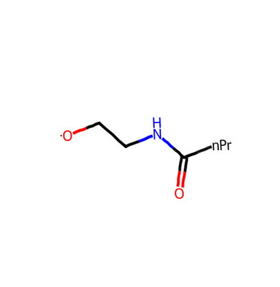 CCCC(=O)NCC[O]